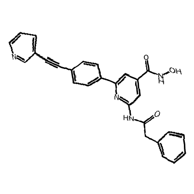 O=C(Cc1ccccc1)Nc1cc(C(=O)NO)cc(-c2ccc(C#Cc3cccnc3)cc2)n1